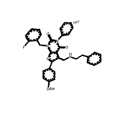 COc1ccc(-c2sc3c(c2CNCCc2ccccc2)c(=O)n(-c2ccccc2)c(=O)n3Cc2ccccc2F)cc1.Cl